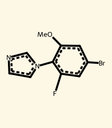 COc1cc(Br)cc(F)c1-n1ccnc1